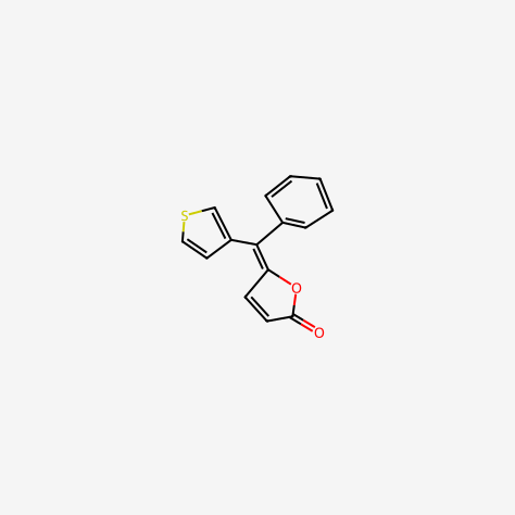 O=C1C=C/C(=C(/c2ccccc2)c2ccsc2)O1